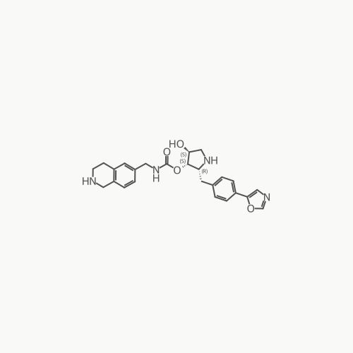 O=C(NCc1ccc2c(c1)CCNC2)O[C@@H]1[C@@H](O)CN[C@@H]1Cc1ccc(-c2cnco2)cc1